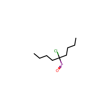 CCCCC(Cl)(CCCC)P=O